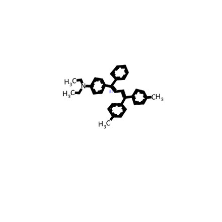 CCN(CC)c1ccc(/C(=C/C=C(c2ccc(C)cc2)c2ccc(C)cc2)c2ccccc2)cc1